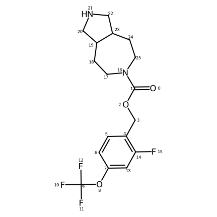 O=C(OCc1ccc(OC(F)(F)F)cc1F)N1CCC2CNCC2CC1